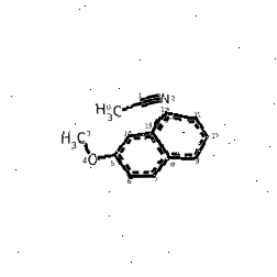 CC#N.COc1ccc2ccccc2c1